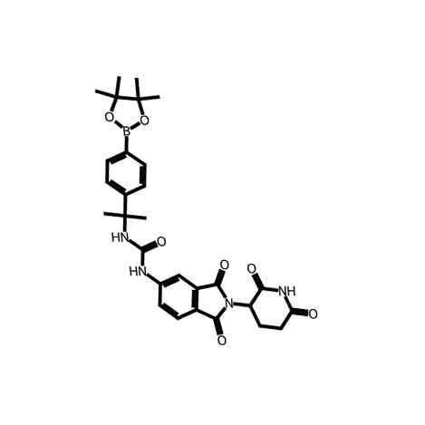 CC(C)(NC(=O)Nc1ccc2c(c1)C(=O)N(C1CCC(=O)NC1=O)C2=O)c1ccc(B2OC(C)(C)C(C)(C)O2)cc1